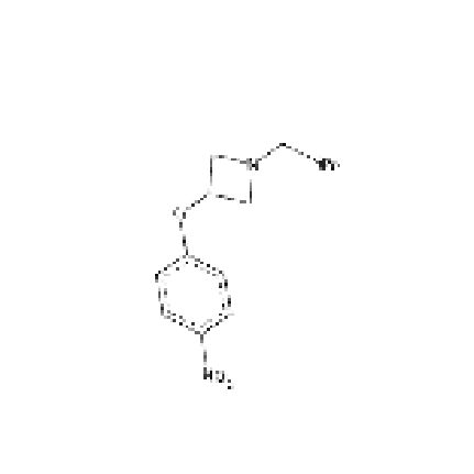 C[C](C)CN1CC(Oc2ccc([N+](=O)[O-])cc2)C1